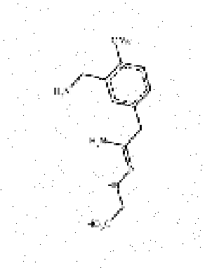 COc1ccc(C/C(N)=N/NCC(=O)O)cc1CN